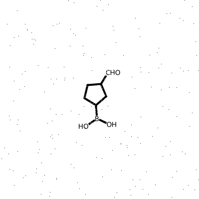 O=CC1CCC(B(O)O)C1